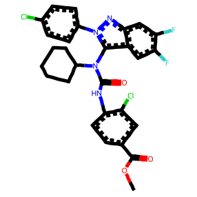 COC(=O)c1ccc(NC(=O)N(c2c3cc(F)c(F)cc3nn2-c2ccc(Cl)cc2)C2CCCCC2)c(Cl)c1